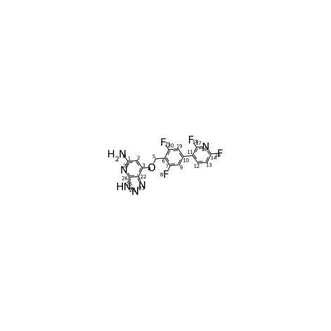 Nc1cc(OCc2c(F)cc(-c3ccc(F)nc3F)cc2F)c2nn[nH]c2n1